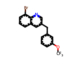 FC(F)(F)Oc1cccc(Cc2cnc3c(Br)cccc3c2)c1